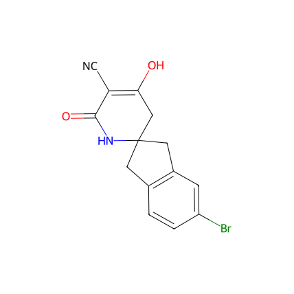 N#CC1=C(O)CC2(Cc3ccc(Br)cc3C2)NC1=O